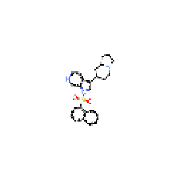 O=S(=O)(c1cccc2ccccc12)n1cc(C2CCN3CCCC3C2)c2ccncc21